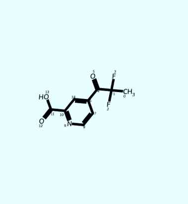 CC(F)(F)C(=O)c1ccnc(C(=O)O)c1